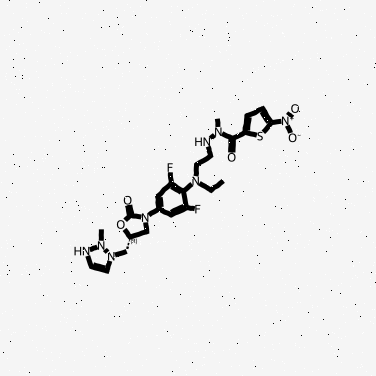 CCN(CCNN(C)C(=O)c1ccc([N+](=O)[O-])s1)c1c(F)cc(N2C[C@H](CN3C=CNN3C)OC2=O)cc1F